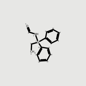 CC[Si](NC=O)(c1ccccc1)c1ccccc1